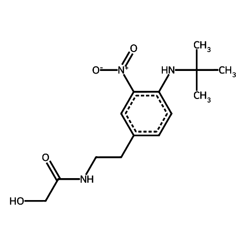 CC(C)(C)Nc1ccc(CCNC(=O)CO)cc1[N+](=O)[O-]